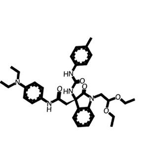 CCOC(CN1C(=O)[C@@](CC(=O)Nc2ccc(N(CC)CC)cc2)(NC(=O)Nc2ccc(C)cc2)c2ccccc21)OCC